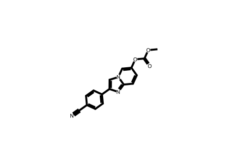 COC(=O)Oc1ccc2nc(-c3ccc(C#N)cc3)cn2c1